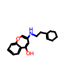 OC1=CC(NCCC2=CCCCC2)=COc2ccccc21